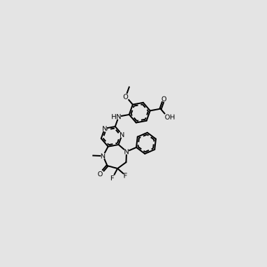 COc1cc(C(=O)O)ccc1Nc1ncc2c(n1)N(c1ccccc1)CC(F)(F)C(=O)N2C